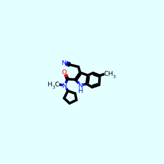 Cc1ccc2[nH]c(C(=O)N(C)C3CCCC3)c(CC#N)c2c1